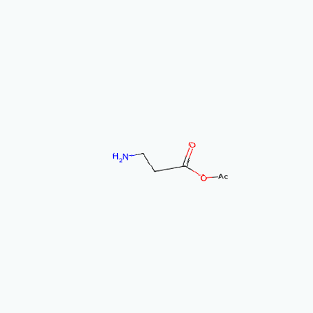 CC(=O)OC(=O)CCN